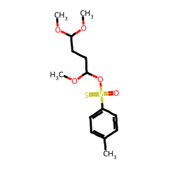 COC(CCC(OC)OS(=O)(=S)c1ccc(C)cc1)OC